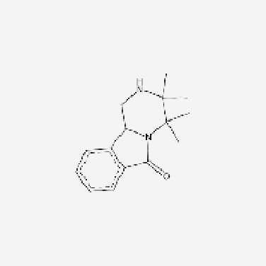 CC1(C)NCC2c3ccccc3C(=O)N2C1(C)C